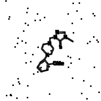 COc1ccccc1N1CCN(Cn2ncn(C)c2=S)CC1